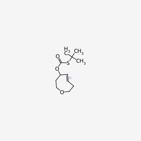 CC(C)(C)SC(=O)OC1/C=C/CCOCC1